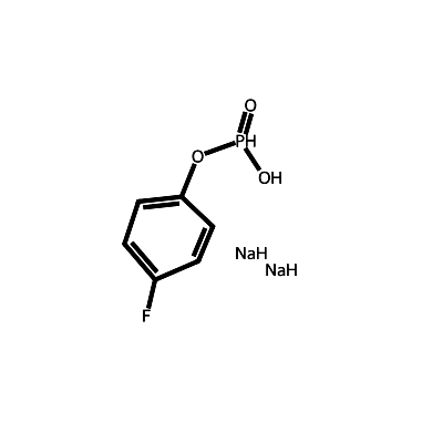 O=[PH](O)Oc1ccc(F)cc1.[NaH].[NaH]